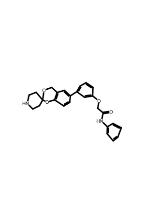 O=C(COc1cccc(-c2ccc3c(c2)COC2(CCNCC2)O3)c1)Nc1ccccc1